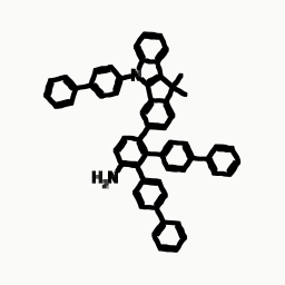 CC1(C)c2ccc(-c3ccc(N)c(-c4ccc(-c5ccccc5)cc4)c3-c3ccc(-c4ccccc4)cc3)cc2-c2c1c1ccccc1n2-c1ccc(-c2ccccc2)cc1